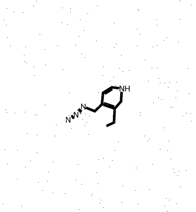 CCC1=C(CN=[N+]=[N-])C=CNC1